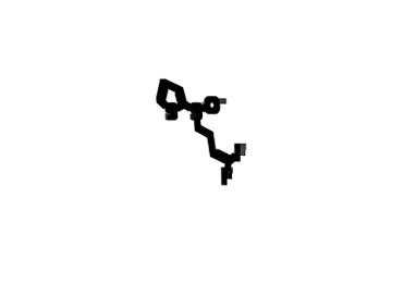 [O-][S+](CCC=C(F)F)c1cccs1